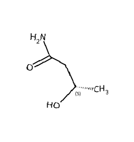 C[C@H](O)CC(N)=O